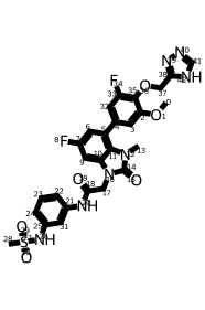 COc1cc(-c2cc(F)cc3c2n(C)c(=O)n3CC(=O)Nc2cccc(NS(C)(=O)=O)c2)cc(F)c1OCc1nnc[nH]1